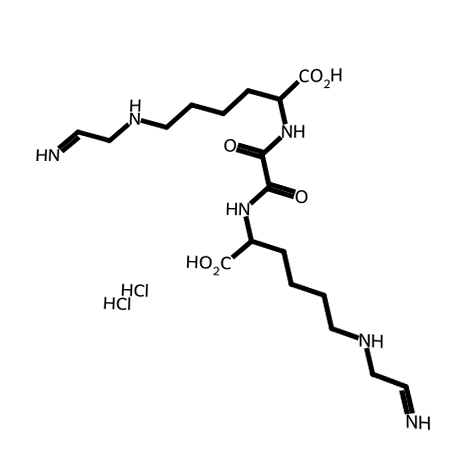 Cl.Cl.N=CCNCCCCC(NC(=O)C(=O)NC(CCCCNCC=N)C(=O)O)C(=O)O